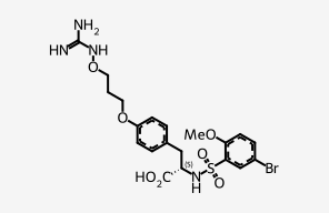 COc1ccc(Br)cc1S(=O)(=O)N[C@@H](Cc1ccc(OCCCONC(=N)N)cc1)C(=O)O